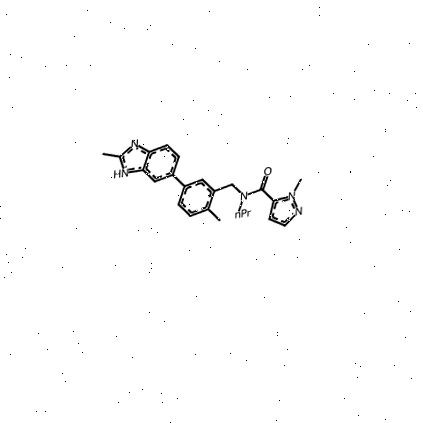 CCCN(Cc1cc(-c2ccc3nc(C)[nH]c3c2)ccc1C)C(=O)c1ccnn1C